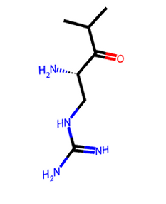 CC(C)C(=O)[C@@H](N)CNC(=N)N